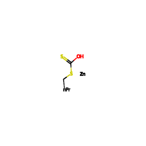 CCCCSC(O)=S.[Zn]